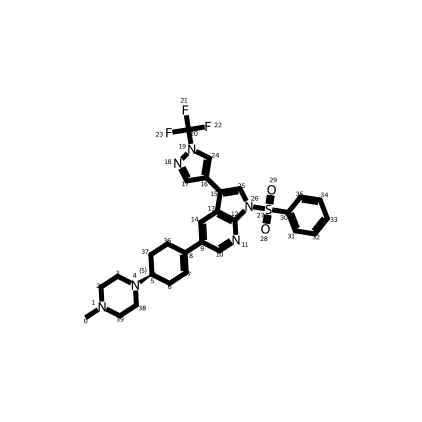 CN1CCN([C@@H]2CC=C(c3cnc4c(c3)c(-c3cnn(C(F)(F)F)c3)cn4S(=O)(=O)c3ccccc3)CC2)CC1